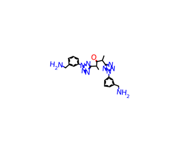 CC(C(=O)C(C)c1nnn(-c2cccc(CN)c2)n1)c1nnn(-c2cccc(CN)c2)n1